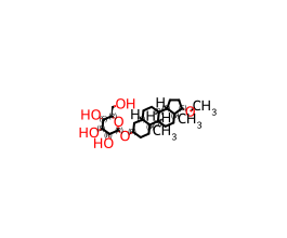 CO[C@H]1CC[C@H]2[C@@H]3CC[C@H]4C[C@H](O[C@@H]5O[C@H](CO)[C@@H](O)[C@H](O)[C@H]5O)CC[C@]4(C)[C@H]3CC[C@]12C